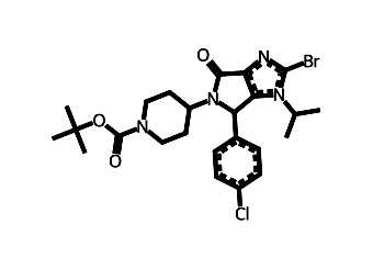 CC(C)n1c(Br)nc2c1C(c1ccc(Cl)cc1)N(C1CCN(C(=O)OC(C)(C)C)CC1)C2=O